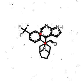 O=CC(c1ccc(C(F)(F)F)cc1)N1C2CCC1CN(c1ncnc3[nH]ccc13)C2